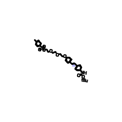 Cc1ccc(S(=O)(=O)OCCOCCOCCOc2ccc(/C=C/c3ccc(NC(=O)OC(C)(C)C)cc3)cc2)cc1